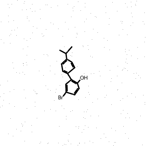 CC(C)c1ccc(-c2cc(Br)ccc2O)cc1